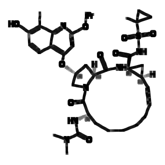 Cc1c(O)ccc2c(O[C@@H]3C[C@H]4C(=O)N[C@]5(C(=O)NS(=O)(=O)C6(C)CC6)C[C@H]5C=CCCCCC[C@H](NC(=O)N(C)C)C(=O)N4C3)cc(OC(C)C)nc12